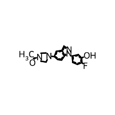 CC(=O)N1CCN(c2ccc3c(cnn3-c3ccc(F)c(O)c3)c2)CC1